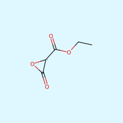 CCOC(=O)[C]1OC1=O